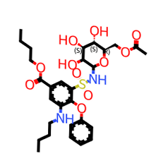 CCCCNc1cc(C(=O)OCCCC)cc(S(=O)(=O)NC2O[C@H](COC(C)=O)[C@@H](O)[C@H](O)C2O)c1Oc1ccccc1